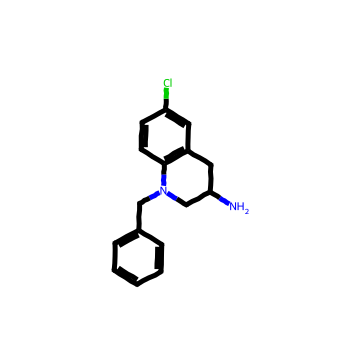 NC1Cc2cc(Cl)ccc2N(Cc2ccccc2)C1